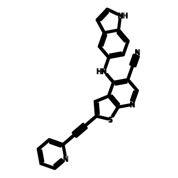 N#Cc1cnc2sc(C#Cc3ccccn3)cc2c1Nc1ccc2[nH]ccc2c1